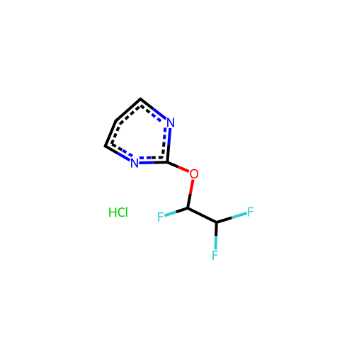 Cl.FC(F)C(F)Oc1ncccn1